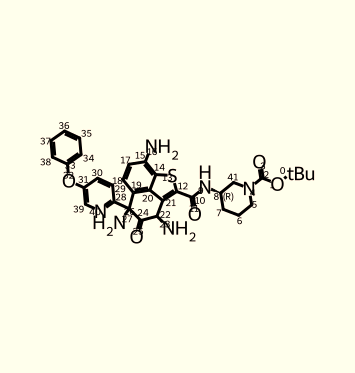 CC(C)(C)OC(=O)N1CCC[C@@H](NC(=O)c2sc3c(N)ccc4c3c2C(N)C(=O)C4(N)c2ccc(Oc3ccccc3)cn2)C1